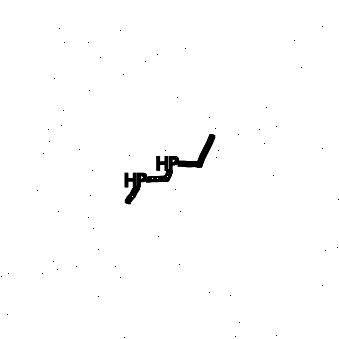 CCPCPC